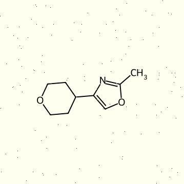 Cc1nc(C2CCOCC2)co1